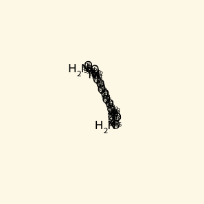 COc1cc(C(=O)c2ncc3c(OCCOCCOCCOCCOCCOCCOc4cccn5c(C(=O)c6ccc(N)c(OC)c6)ncc45)cccn23)ccc1N